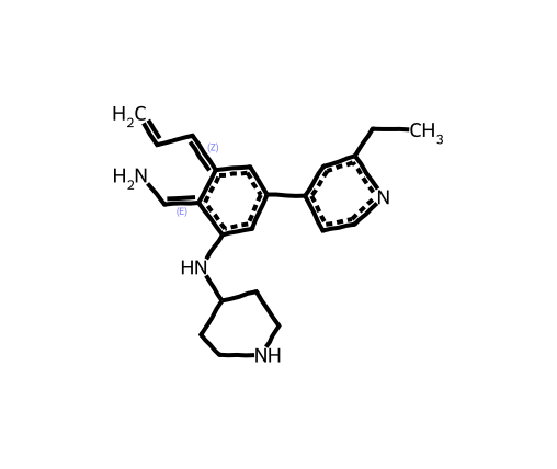 C=C/C=c1/cc(-c2ccnc(CC)c2)cc(NC2CCNCC2)/c1=C/N